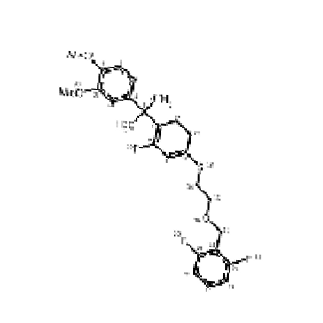 COc1ccc(C(C)(C)C2=C(F)C=C(SCCOCc3c(F)cccc3F)[CH]C2)cc1OC